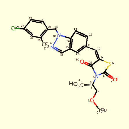 CC(C)(C)OC[C@@H](C(=O)O)N1C(=O)SC(=Cc2ccc3c(cnn3Cc3ccc(Cl)cc3C(F)(F)F)c2)C1=O